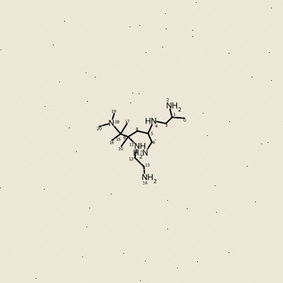 CC(N)CNC(CN)CC(C)(NCCN)C(C)(C)N(C)C